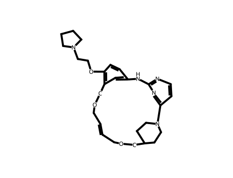 C1=C/COCC2CCN(CC2)c2ccnc(n2)Nc2ccc(OCCN3CCCC3)c(c2)COC/1